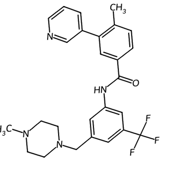 Cc1ccc(C(=O)Nc2cc(CN3CCN(C)CC3)cc(C(F)(F)F)c2)cc1-c1cccnc1